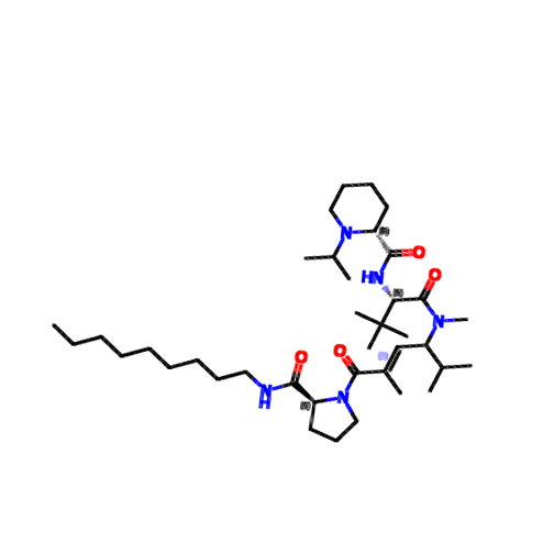 CCCCCCCCCNC(=O)[C@@H]1CCCN1C(=O)/C(C)=C/C(C(C)C)N(C)C(=O)[C@@H](NC(=O)[C@H]1CCCCN1C(C)C)C(C)(C)C